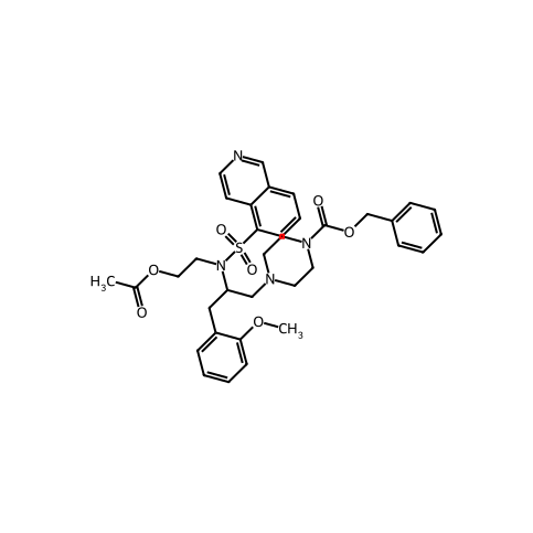 COc1ccccc1CC(CN1CCN(C(=O)OCc2ccccc2)CC1)N(CCOC(C)=O)S(=O)(=O)c1cccc2cnccc12